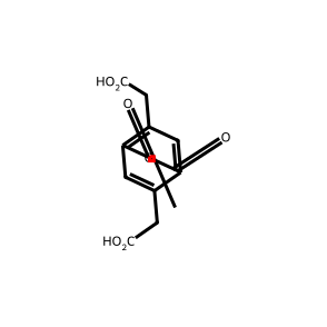 O=C(O)Cc1cc2c(CC(=O)O)cc1c(=O)oc2=O